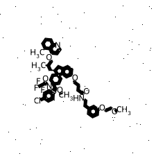 COCCOc1cccc(CCNC(=O)CCCOc2ccc3c(c2)C2(CCC(C(=O)OC)(N(C(=O)C(F)(F)F)c4cccc(Cl)c4)CC2)[C@@H](C[C@@H](C)COc2ccnc4c2[C@H](C)CCC4)C3)c1